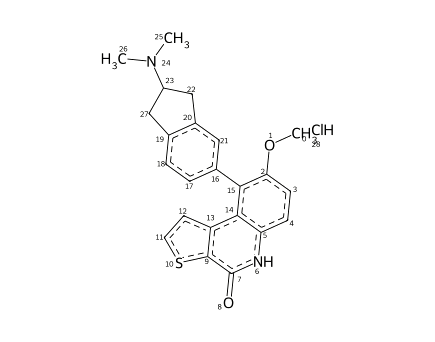 COc1ccc2[nH]c(=O)c3sccc3c2c1-c1ccc2c(c1)CC(N(C)C)C2.Cl